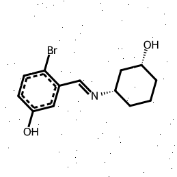 Oc1ccc(Br)c(C=N[C@H]2CCC[C@@H](O)C2)c1